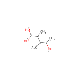 CC(=O)OC(C(C)O)C(C)C(O)O